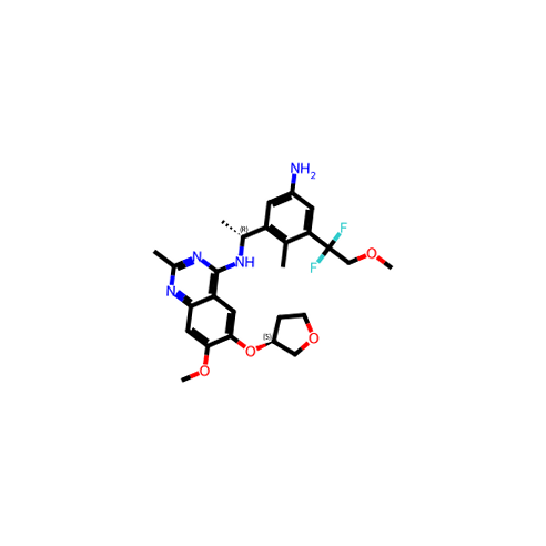 COCC(F)(F)c1cc(N)cc([C@@H](C)Nc2nc(C)nc3cc(OC)c(O[C@H]4CCOC4)cc23)c1C